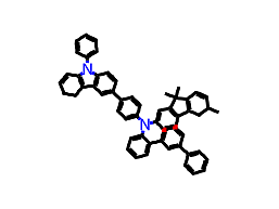 CC1C=CC2=C(C1)c1ccc(N(c3ccc(-c4ccc5c(c4)c4c(n5-c5ccccc5)C=CCC4)cc3)c3ccccc3-c3cccc(-c4ccccc4)c3)cc1C2(C)C